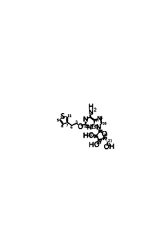 Nc1nc(OCCc2ccsc2)nc2c1ncn2[C@@H]1O[C@H](CO)[C@@H](O)[C@H]1O